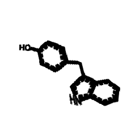 Oc1ccc(Cc2c[nH]c3ccccc23)cc1